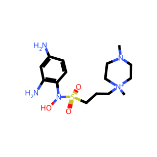 CN1CC[N+](C)(CCCS(=O)(=O)N(O)c2ccc(N)cc2N)CC1